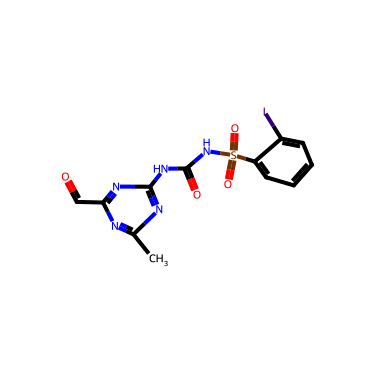 Cc1nc(C=O)nc(NC(=O)NS(=O)(=O)c2ccccc2I)n1